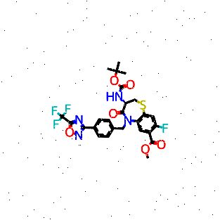 COC(=O)c1cc2c(cc1F)SC[C@H](NC(=O)OC(C)(C)C)C(=O)N2Cc1ccc(-c2noc(C(F)(F)F)n2)cc1